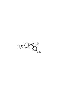 CC1CCN(C(=O)c2ccc(C#N)cc2Br)CC1